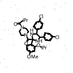 COc1ccc(C2(C(=O)N3CCN(C(=O)C(C)C)CC3)NC(c3ccc(Cl)cc3)C(c3ccc(Cl)cc3)N2)c(OC(C)C)c1